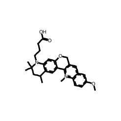 COc1ccc2c(c1)cc1c([n+]2C)-c2cc3c(cc2OC1)N(CCCC(=O)O)C(C)(C)CC3C